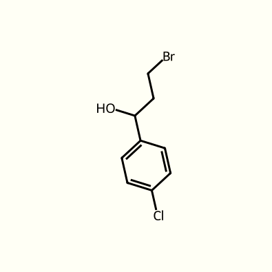 OC(CCBr)c1ccc(Cl)cc1